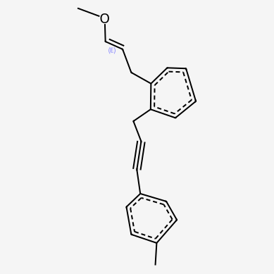 CO/C=C/Cc1ccccc1CC#Cc1ccc(C)cc1